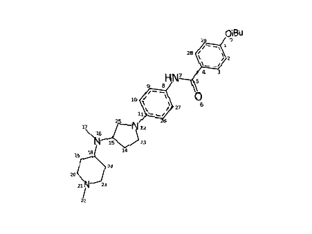 CC(C)COc1ccc(C(=O)Nc2ccc(N3CCC(N(C)C4CCN(C)CC4)C3)cc2)cc1